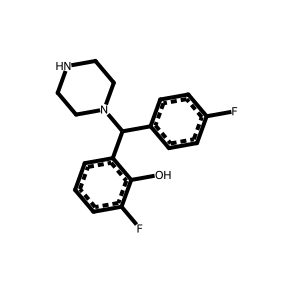 Oc1c(F)cccc1C(c1ccc(F)cc1)N1CCNCC1